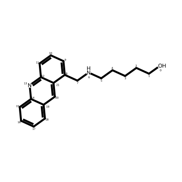 OCCCCCNCc1cccc2nc3ccccc3cc12